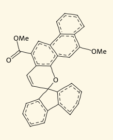 COC(=O)c1cc2c(cc(OC)c3ccccc32)c2c1C=CC1(O2)c2ccccc2-c2ccccc21